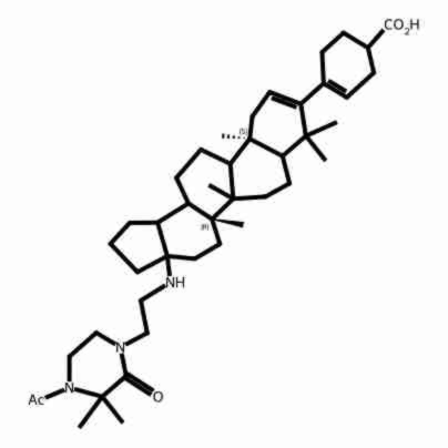 CC(=O)N1CCN(CCNC23CCCC2C2CCC4C(C)(CCC5C(C)(C)C(C6=CCC(C(=O)O)CC6)=CC[C@@]54C)[C@]2(C)CC3)C(=O)C1(C)C